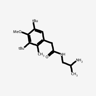 COc1c(C(C)(C)C)cc(CC(=O)NCC(C)N)c(C)c1C(C)(C)C